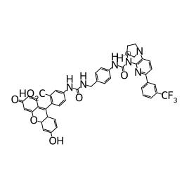 O=C1C=CC2=C(c3ccc(NC(=O)NCc4ccc(NC(=O)N5c6nc(-c7cccc(C(F)(F)F)c7)ccc6N6CC[C@H]5C6)cc4)cc3C(=O)O)C3C=CC(O)=CC3OC2=C1